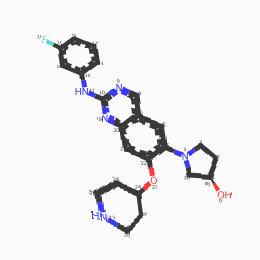 O[C@@H]1CCN(c2cc3cnc(Nc4cccc(F)c4)nc3cc2OC2CCNCC2)C1